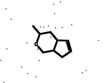 CC1CC2C=CCC2CO1